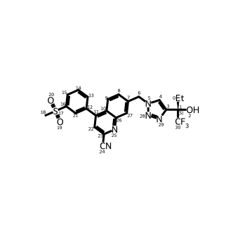 CC[C@](O)(c1cn(Cc2ccc3c(-c4cccc(S(C)(=O)=O)c4)cc(C#N)nc3c2)nn1)C(F)(F)F